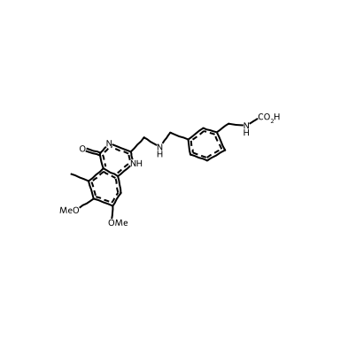 COc1cc2[nH]c(CNCc3cccc(CNC(=O)O)c3)nc(=O)c2c(C)c1OC